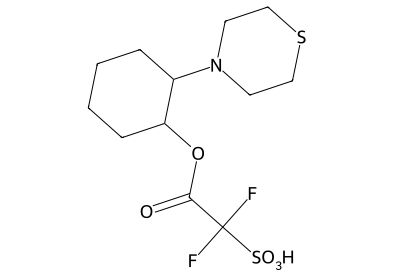 O=C(OC1CCCCC1N1CCSCC1)C(F)(F)S(=O)(=O)O